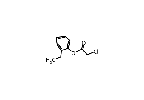 CCc1ccccc1OC(=O)CCl